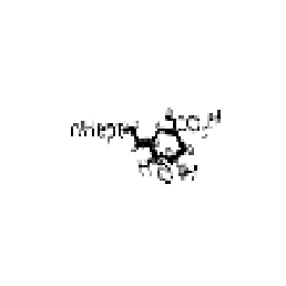 CC(=O)O.CCCCCCCC/C=C1\CCC[C@H]2O[C@@H]12